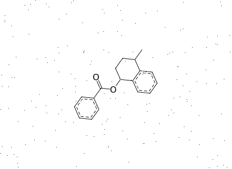 CC1CCC(OC(=O)c2ccccc2)c2ccccc21